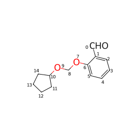 O=Cc1ccccc1OCOC1CCCC1